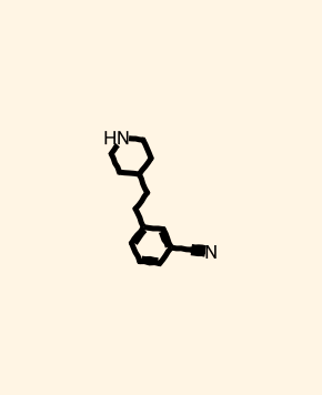 N#Cc1cccc(CCC2CCNCC2)c1